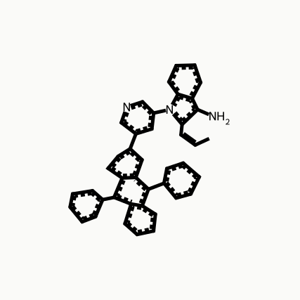 C/C=C\c1c(N)c2ccccc2n1-c1cncc(-c2ccc3c(-c4ccccc4)c4ccccc4c(-c4ccccc4)c3c2)c1